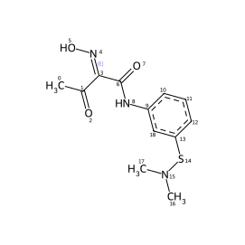 CC(=O)/C(=N\O)C(=O)Nc1cccc(SN(C)C)c1